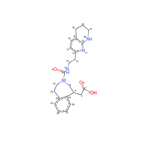 O=C(O)CC1CN(C(=O)NCCc2ccc3c(n2)NCCC3)CCc2ccccc21